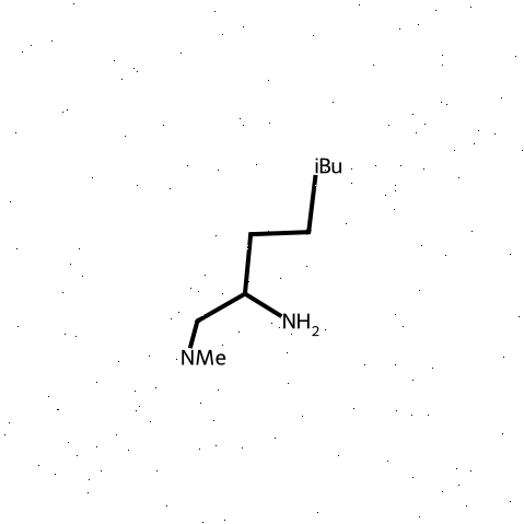 CCC(C)CCC(N)CNC